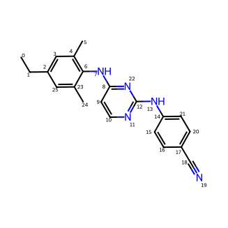 CCc1cc(C)c(Nc2ccnc(Nc3ccc(C#N)cc3)n2)c(C)c1